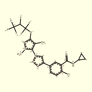 Cc1c(OC(F)(F)C(F)C(F)(F)F)nn(C)c1-n1cc(-c2ccc(Cl)c(C(=O)NC3CC3)c2)nn1